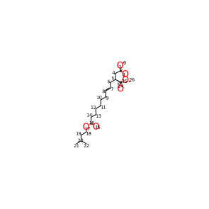 COC(=O)CC(C/C=C/CCCCCCC(=O)OCCC(C)C)C(=O)OC